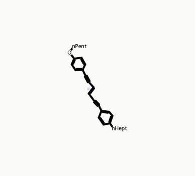 CCCCCCCc1ccc(C#C/C=C/C#Cc2ccc(OCCCCC)cc2)cc1